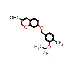 C[C@H](Oc1cc(COc2ccc3c(c2)OCC(C=O)=C3)ccc1C(F)(F)F)C(F)(F)F